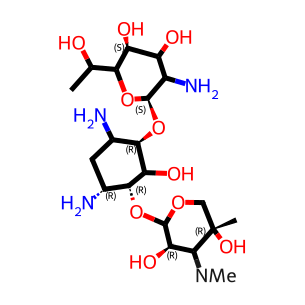 CNC1[C@@H](O)C(O[C@H]2C(O)[C@H](O[C@H]3OC(C(C)O)[C@@H](O)C(O)C3N)C(N)C[C@H]2N)OC[C@]1(C)O